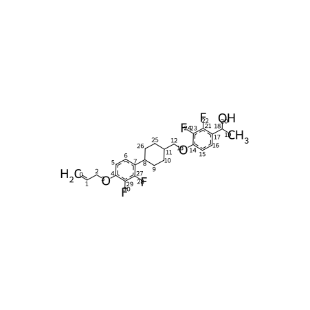 C=CCOc1ccc(C2CCC(COc3ccc(C(C)O)c(F)c3F)CC2)c(F)c1F